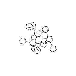 C[SiH](C)[Zr]([CH]1C(CC23CC4CC(CC(C4)C2)C3)=Cc2c(-c3ccccc3)ccc(-c3ccccc3)c21)[CH]1C(CC23CC4CC(CC(C4)C2)C3)=Cc2c(-c3ccccc3)ccc(-c3ccccc3)c21